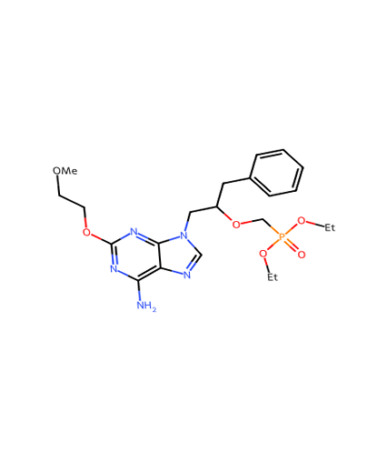 CCOP(=O)(COC(Cc1ccccc1)Cn1cnc2c(N)nc(OCCOC)nc21)OCC